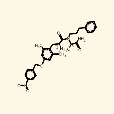 Cc1cc(OCc2ccc([N+](=O)[O-])cc2)cc(C)c1C[C@H](N)C(=O)N(CCCc1ccccc1)[C@H](C)C(N)=O